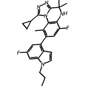 CCCn1ccc2c(-c3cc(F)c4c(c3C)-n3c(C5CC5)nnc3C(C)(C)N4)cc(F)cc21